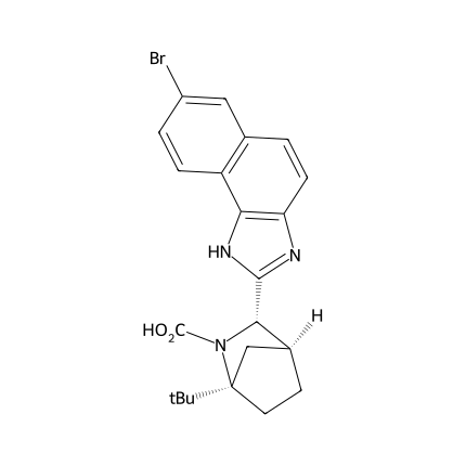 CC(C)(C)[C@@]12CC[C@@H](C1)[C@@H](c1nc3ccc4cc(Br)ccc4c3[nH]1)N2C(=O)O